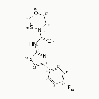 O=C(Nc1nc(-c2ccc(F)cc2)cs1)N1CCOCS1